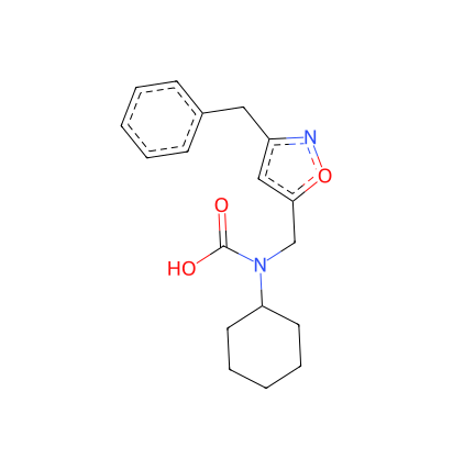 O=C(O)N(Cc1cc(Cc2ccccc2)no1)C1CCCCC1